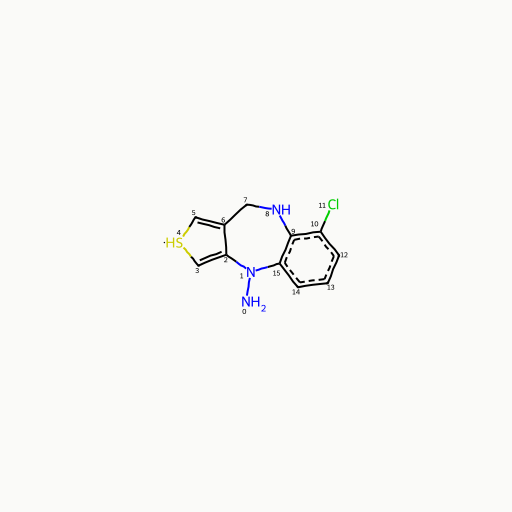 NN1C2=C[SH]C=C2CNc2c(Cl)cccc21